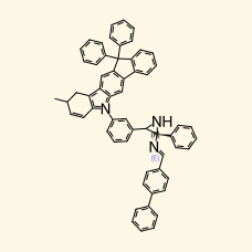 CC1C=Cc2c(c3cc4c(cc3n2-c2cccc(C3N[C@@]3(/N=C/c3ccc(-c5ccccc5)cc3)c3ccccc3)c2)-c2ccccc2C4(c2ccccc2)c2ccccc2)C1